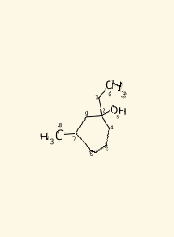 CCC1(O)CCCC(C)C1